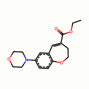 CCOC(=O)C1=Cc2cc(N3CCOCC3)ccc2OCC1